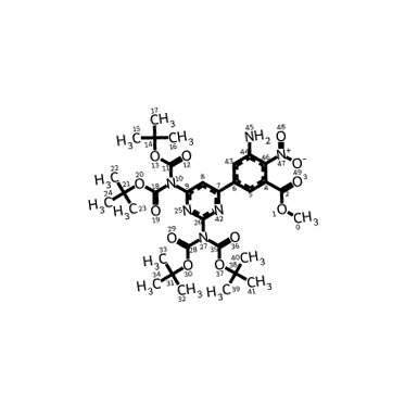 COC(=O)c1cc(-c2cc(N(C(=O)OC(C)(C)C)C(=O)OC(C)(C)C)nc(N(C(=O)OC(C)(C)C)C(=O)OC(C)(C)C)n2)cc(N)c1[N+](=O)[O-]